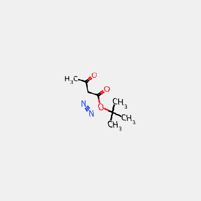 CC(=O)CC(=O)OC(C)(C)C.N#N